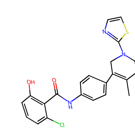 CC1=C(c2ccc(NC(=O)c3c(O)cccc3Cl)cc2)CN(c2nccs2)CC1